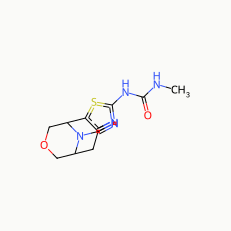 CNC(=O)Nc1nc2c(s1)C1COCC(C2)N1C#N